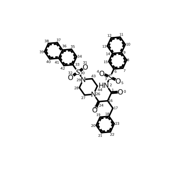 O=C(NS(=O)(=O)c1ccc2ccccc2c1)C(Cc1ccccc1)C(=O)N1CCN(S(=O)(=O)c2ccc3ccccc3c2)CC1